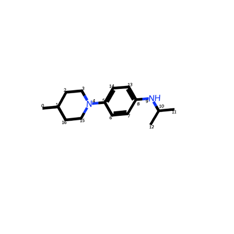 CC1CCN(c2ccc(NC(C)C)cc2)CC1